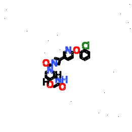 O=C1CO[C@@H]2CCN(C(=O)N3CC(c4ccc(Oc5ccccc5Cl)nc4)C3)C[C@H]2N1